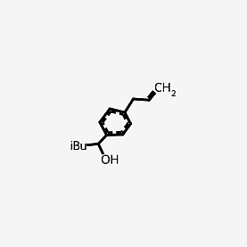 C=CCc1ccc(C(O)C(C)CC)cc1